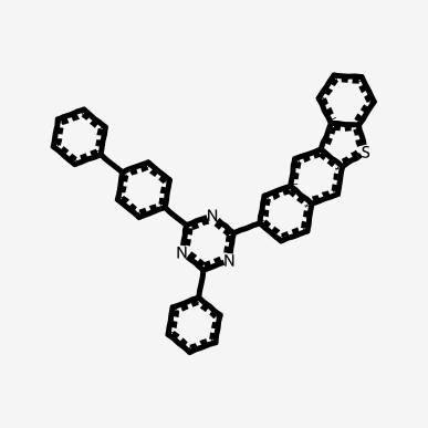 c1ccc(-c2ccc(-c3nc(-c4ccccc4)nc(-c4ccc5cc6sc7ccccc7c6cc5c4)n3)cc2)cc1